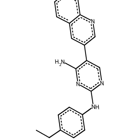 CCc1ccc(Nc2ncc(-c3cnc4ccccc4c3)c(N)n2)cc1